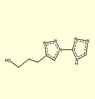 OCCCc1cn(-c2nnc[nH]2)nn1